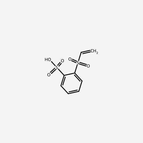 C=CS(=O)(=O)c1ccccc1S(=O)(=O)O